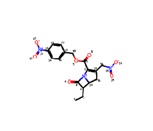 CCC1C(=O)N2C(C(=O)OCc3ccc([N+](=O)[O-])cc3)=C(C[N+](=O)[O-])CC12